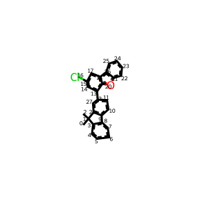 CC1(C)c2ccccc2-c2ccc(-c3cc(Cl)cc4c3oc3ccccc34)cc21